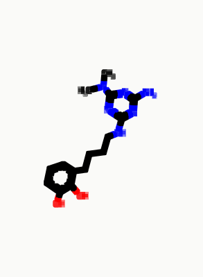 CN(C)c1nc(N)nc(NCCCCc2cccc(O)c2O)n1